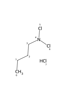 CCCCN(Cl)Cl.Cl